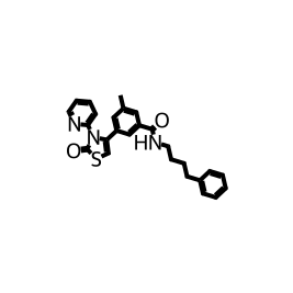 Cc1cc(C(=O)NCCCCc2ccccc2)cc(-c2csc(=O)n2-c2ccccn2)c1